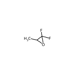 CC1OC1(F)F